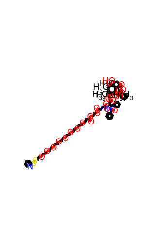 CC(=O)O[C@@]12COC1C[C@H](O)[C@@]1(C)C(=O)[C@H](C)C3=C(C)[C@@H](OC(=O)[C@H](OC(=O)CCC(=O)OCCOC(=O)CCOCCOCCOCCOCCOCCOCCOCCOCCSSc4ccccn4)[C@@H](NC(=O)c4ccccc4)c4ccccc4)C[C@@](O)([C@@H](OC(=O)c4ccccc4)[C@@H]12)C3(C)C